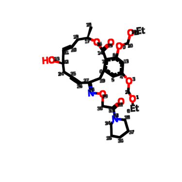 CCOCOc1cc2c(c(OCOCC)c1)C(=O)O[C@H](C)C/C=C/[C@H](O)C/C=C/C(=N/OCC(=O)N1CCCCC1)C2